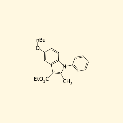 CCCCOc1ccc2c(c1)c(C(=O)OCC)c(C)n2-c1ccccc1